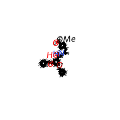 COC(=O)c1ccc(CC(C)NCC(O)c2cc(OCc3ccccc3)cc(OCc3ccccc3)c2)cc1